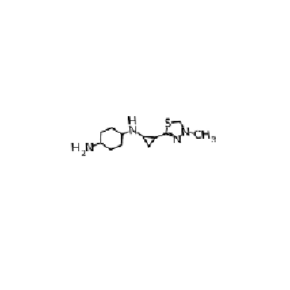 CN1CSC(C2CC2NC2CCC(N)CC2)=N1